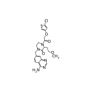 COCCC1C(=O)N(Cc2ccc3c(N)ncnc3c2)CCN1C(=O)COc1csc(Cl)c1